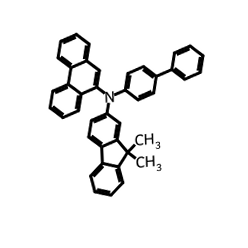 CC1(C)c2ccccc2-c2ccc(N(c3ccc(-c4ccccc4)cc3)c3cc4ccccc4c4ccccc34)cc21